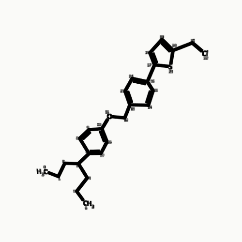 CCCC(CCC)c1ccc(OCc2ccc(-c3ccc(CCl)s3)cc2)cc1